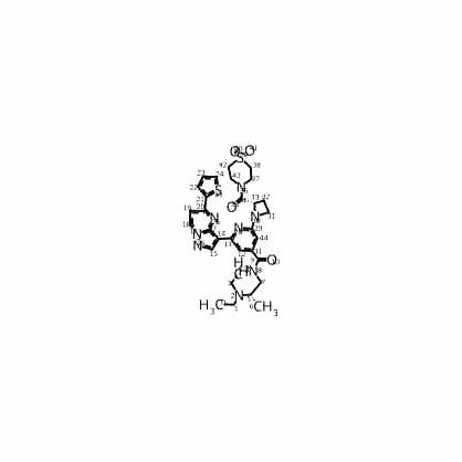 CCN(CC)[C@@H](C)CNC(=O)c1cc(-c2cnn3ccc(-c4cccs4)nc23)nc(N2CC[C@H]2C(=O)N2CCS(=O)(=O)CC2)c1